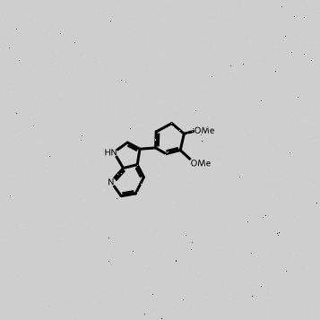 COC1=CC(c2c[nH]c3ncccc23)=CCC1OC